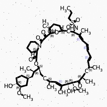 CCCS(=O)(=O)N[C@@H]1C[C@@H]2CC[C@@H](C)[C@@](O)(O2)C(=O)C(=O)N2CCCC[C@H]2C(=O)O[C@H]([C@H](C)C[C@@H]2CC[C@@H](O)[C@H](OC)C2)CC[C@H](C)/C=C(\C)[C@@H](O)[C@@H](OC)C(=O)[C@H](C)C[C@H](C)/C=C/C=C/C=C/1C